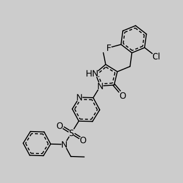 CCN(c1ccccc1)S(=O)(=O)c1ccc(-n2[nH]c(C)c(Cc3c(F)cccc3Cl)c2=O)nc1